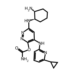 NC(=O)Oc1nnc(N[C@@H]2CCCC[C@@H]2N)cc1Nc1cccc(C2CC2)n1